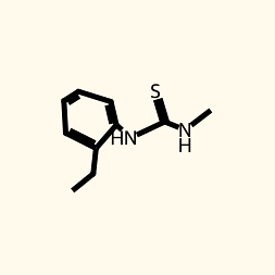 CCc1ccccc1NC(=S)NC